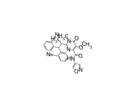 COc1c(C(=O)Nc2cnoc2)nc(C(C)C(c2ccccc2C#N)c2ccccc2C#N)n(C)c1=O